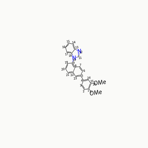 COc1ccc(-c2ccc3c(-n4cnc5ccccc54)cccc3c2)cc1OC